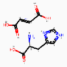 N[C@@H](Cc1c[nH]cn1)C(=O)O.O=C(O)/C=C/C(=O)O